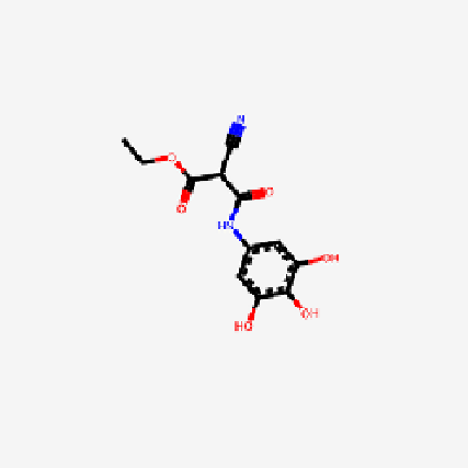 CCOC(=O)C(C#N)C(=O)Nc1cc(O)c(O)c(O)c1